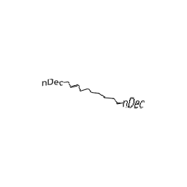 [CH2]CCCCCCCCCCC=CCCCCCCCCCCCCCCCCC